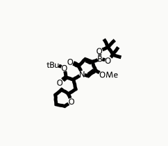 COc1cn(C(CC2CCCCO2)C(=O)OC(C)(C)C)c(=O)cc1B1OC(C)(C)C(C)(C)O1